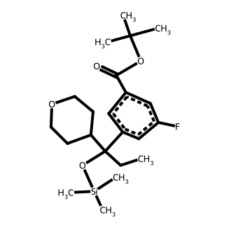 CCC(O[Si](C)(C)C)(c1cc(F)cc(C(=O)OC(C)(C)C)c1)C1CCOCC1